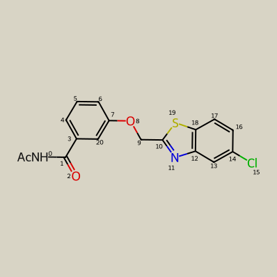 CC(=O)NC(=O)c1cccc(OCc2nc3cc(Cl)ccc3s2)c1